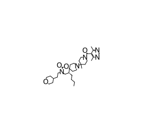 CCCC[C@H]1CN(CCC2CCOCC2)C(=O)OC12CCN(C1(C)CCN(C(=O)c3c(C)ncnc3C)CC1)CC2